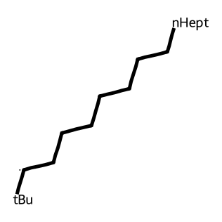 CCCCCCCCCCCCCC[CH]C(C)(C)C